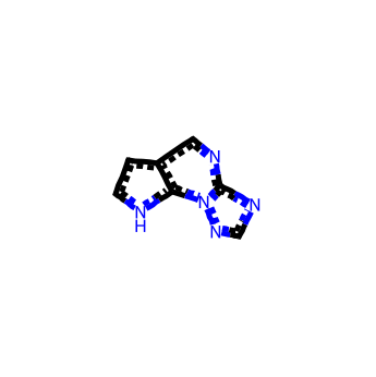 c1nc2ncc3cc[nH]c3n2n1